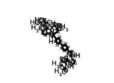 COC(=O)N[C@H](C(=O)N1CCC[C@H]1c1nc(-c2ccc(-c3ccc(-c4[nH]c([C@@H]5CCCN5C(=O)[C@H](C(C)C)N(C)C(=O)O)nc4CC(OC)OC)cc3)cc2)c[nH]1)C(C)C